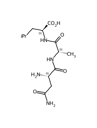 CC(C)C[C@H](NC(=O)[C@H](C)NC(=O)[C@@H](N)CC(N)=O)C(=O)O